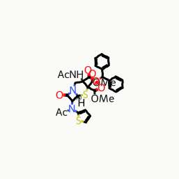 COC(=O)C1(C(=O)OC)S[C@@H]2C(N(C(C)=O)c3cccs3)C(=O)N2CC1(NC(C)=O)C(=O)OC(c1ccccc1)c1ccccc1